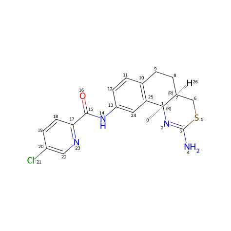 C[C@@]12N=C(N)SC[C@@H]1CCc1ccc(NC(=O)c3ccc(Cl)cn3)cc12